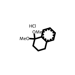 COC1(OC)CCCc2ccccc21.Cl